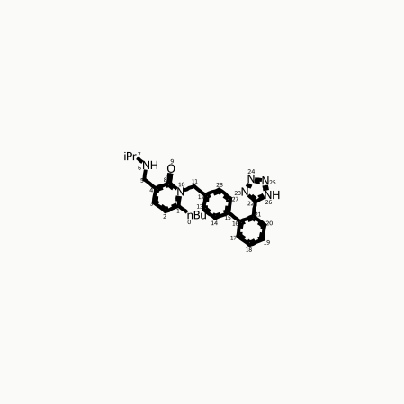 CCCCc1ccc(CNC(C)C)c(=O)n1Cc1ccc(-c2ccccc2-c2nnn[nH]2)cc1